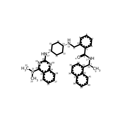 C[C@H](NC(=O)c1ccccc1CN[C@H]1CC[C@@H](Nc2nc(N(C)C)c3ccccc3n2)CC1)c1cccc2ccccc12